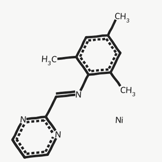 Cc1cc(C)c(N=Cc2ncccn2)c(C)c1.[Ni]